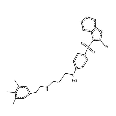 Cc1cc(CCNCCCOc2ccc(S(=O)(=O)c3c(C(C)C)oc4ccccc34)cc2)cc(C)c1C.Cl